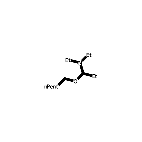 CCCCCCOC(CC)N(CC)CC